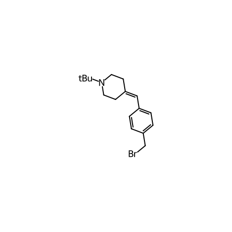 CC(C)(C)N1CCC(=Cc2ccc(CBr)cc2)CC1